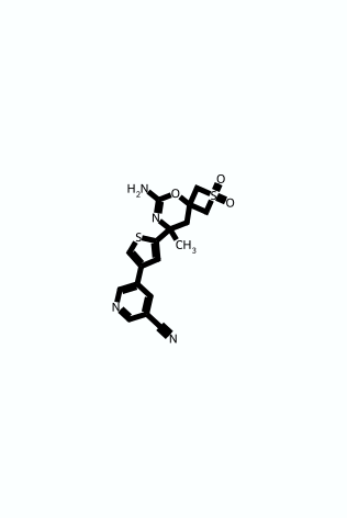 CC1(c2cc(-c3cncc(C#N)c3)cs2)CC2(CS(=O)(=O)C2)OC(N)=N1